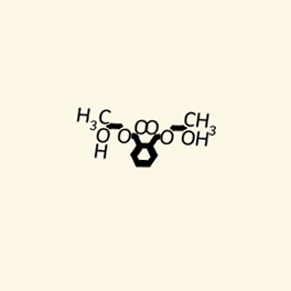 CC(O)COC(=O)c1ccccc1C(=O)OCC(C)O